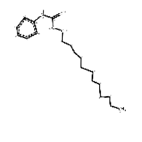 CCCCCCCCCCCCOOC(=O)Nc1ccccc1